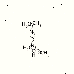 COCC(O)CN(C)CCN1CCN(CCN(C)C)CC1